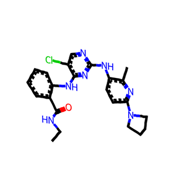 CCNC(=O)c1ccccc1Nc1nc(Nc2ccc(N3CCCC3)nc2C)ncc1Cl